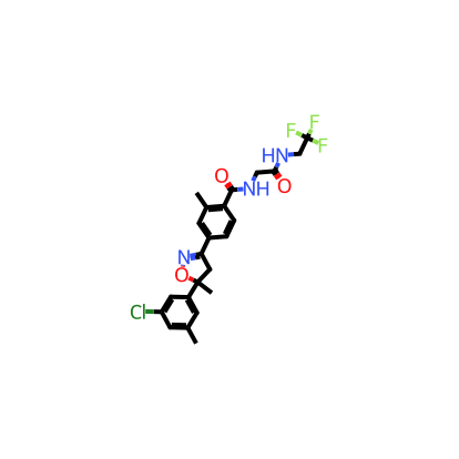 Cc1cc(Cl)cc(C2(C)CC(c3ccc(C(=O)NCC(=O)NCC(F)(F)F)c(C)c3)=NO2)c1